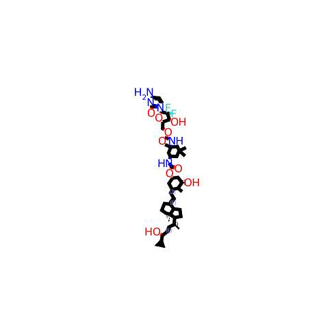 CC1/C(=C\C=C2/CCC[C@@]3(C)C2CCC3[C@@H](C)/C=C/C(O)C2CC2)CC(OC(=O)NC2CC(C)(C)CC(C)(NC(=O)OCC3OC(n4ccc(N)nc4=O)C(F)(F)C3O)C2)C[C@@H]1O